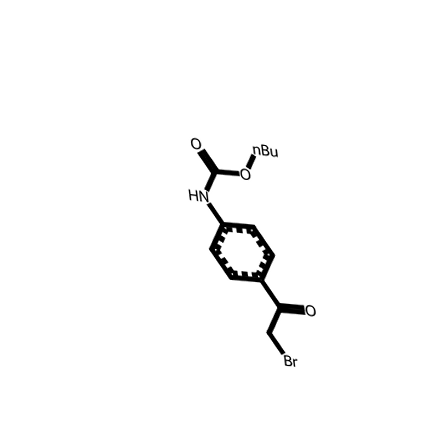 CCCCOC(=O)Nc1ccc(C(=O)CBr)cc1